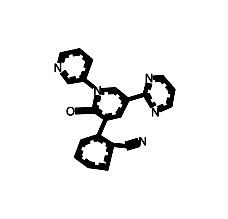 N#Cc1ccccc1-c1cc(-c2ncccn2)cn(-c2cccnc2)c1=O